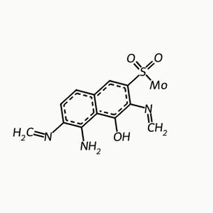 C=Nc1ccc2cc([S](=O)(=O)[Mo])c(N=C)c(O)c2c1N